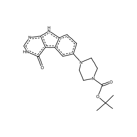 CC(C)(C)OC(=O)N1CCN(c2ccc3[nH]c4nc[nH]c(=O)c4c3c2)CC1